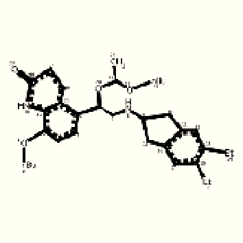 CCCCOc1ccc([C@H](CNC2Cc3cc(CC)c(CC)cc3C2)O[C@@H](C)OCCCC)c2ccc(=O)[nH]c12